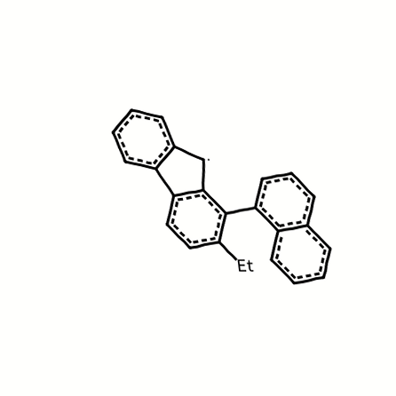 CCc1ccc2c(c1-c1cccc3ccccc13)[CH]c1ccccc1-2